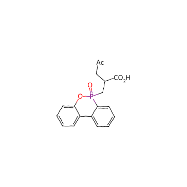 CC(=O)CC(CP1(=O)Oc2ccccc2-c2ccccc21)C(=O)O